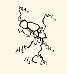 C[C@H](CCCN(C)CO)C1CC[C@H]2C3[C@H](OCCN)CC4C[C@@H](OCCN)CC[C@]4(C)[C@H]3C[C@H](OCCN)[C@]12C